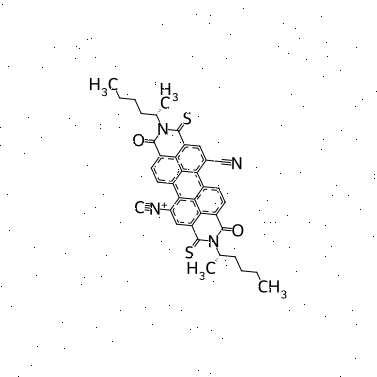 [C-]#[N+]c1cc2c3c(ccc4c5c(C#N)cc6c7c(ccc(c1c34)c75)C(=O)N([C@@H](C)CCCC)C6=S)C(=O)N([C@@H](C)CCCC)C2=S